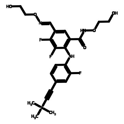 C[Si](C)(C)C#Cc1ccc(Nc2c(C(=O)NOCCO)cc(/C=N/OCCO)c(F)c2F)c(F)c1